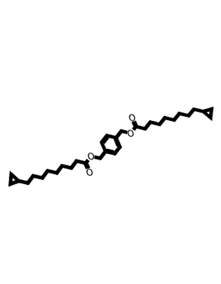 O=C(CCCCCCCCC1CC1)OCc1ccc(COC(=O)CCCCCCCCC2CC2)cc1